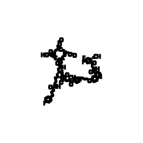 C#C[C@H]1CC(F)(F)CN1C(=O)CNC(=O)c1ccnc2ccc(OCCCN3CCN(C(=O)[C@H](C)CN4C(=O)CC(S[C@H](CCCCCNC(=O)CCCc5ccc(I)cc5)CNC(=O)CN5CCN(COC=O)CCN(COC=O)CCN(CC(=O)O)CC5)C4=O)CC3)cc12